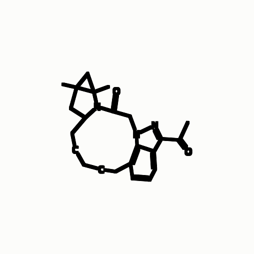 CC(=O)c1nn2c3c(cccc13)CCCCCC1CC3(C)CC3(C)N1C(=O)C2